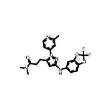 Cc1cc(-n2nc(Nc3ccc4c(c3)OC(F)(F)O4)cc2CCC(=O)N(C)C)ccn1